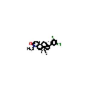 CC1CC2N(C)C(=O)CC[C@]2(C)[C@@H]2CC[C@]3(C)C(c4cc(Cl)cc(Cl)c4)CC[C@H]3[C@H]12